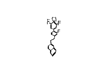 Fc1cc(CCc2ccc3ccccc3c2)ccc1-c1cc(F)c(Cl)c(F)c1